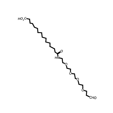 O=CCCOCCOCCOCCOCCNC(=O)CCCCCCCCCCCCCCC(=O)O